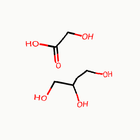 O=C(O)CO.OCC(O)CO